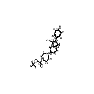 CC(C)(C)OC(=O)N1CCN(c2ccc3nc(-c4ccc(F)cc4)c(I)n3n2)CC1